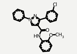 COc1ccccc1NC(=O)c1cn(-c2ccccc2)nc1-c1cccc(Cl)c1